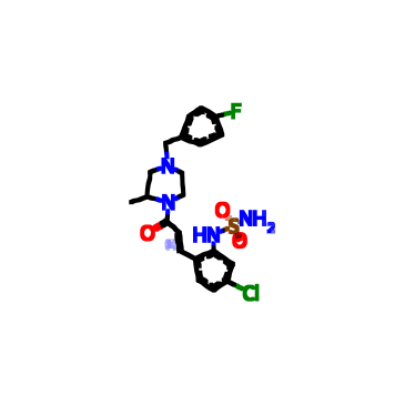 CC1CN(Cc2ccc(F)cc2)CCN1C(=O)/C=C/c1ccc(Cl)cc1NS(N)(=O)=O